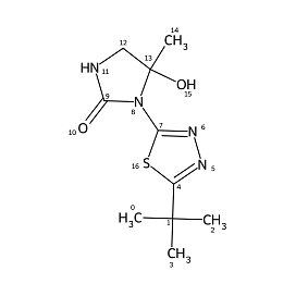 CC(C)(C)c1nnc(N2C(=O)NCC2(C)O)s1